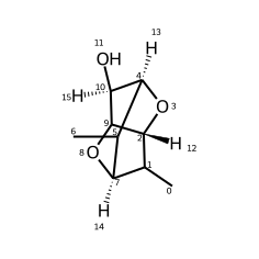 CC1[C@H]2O[C@H]3C(C)[C@@H]1OC2[C@H]3O